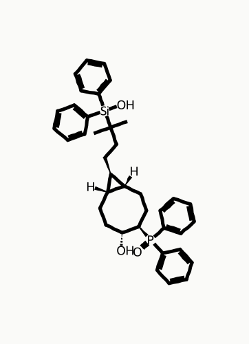 CC(C)(CC[C@@H]1[C@H]2CC[C@@H](O)[C@H](P(=O)(c3ccccc3)c3ccccc3)CC[C@H]21)[Si](O)(c1ccccc1)c1ccccc1